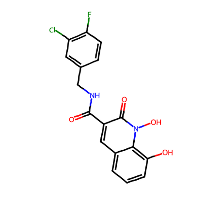 O=C(NCc1ccc(F)c(Cl)c1)c1cc2cccc(O)c2n(O)c1=O